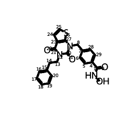 O=C(NO)c1ccc(Cn2c(=O)n(CCc3ccccc3)c(=O)c3ccsc32)cc1